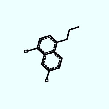 CCCc1ccc(Cl)c2cc(Cl)ccc12